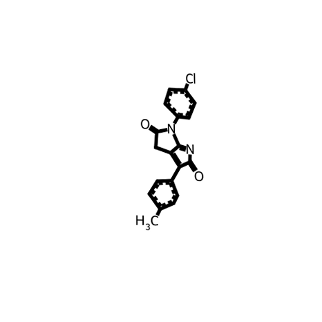 Cc1ccc(C2=C3CC(=O)N(c4ccc(Cl)cc4)C3=NC2=O)cc1